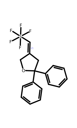 FS(F)(F)(F)(F)/C=C1\COC(c2ccccc2)(c2ccccc2)C1